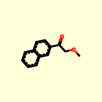 COCC(=O)c1ccc2ccccc2c1